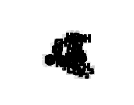 CC(C)N(CCC(C(N)=O)(c1ccccc1)c1ccccn1)C(C)C.CN1CCN(C(c2ccccc2)c2ccccc2)CC1.O=P(O)(O)O